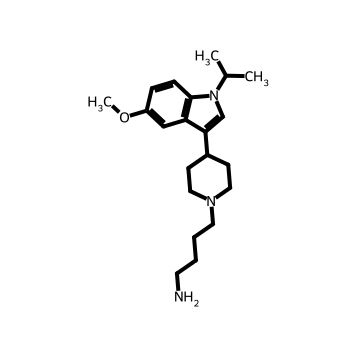 COc1ccc2c(c1)c(C1CCN(CCCCN)CC1)cn2C(C)C